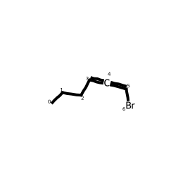 CCCC=C=CBr